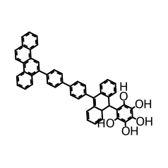 Oc1c(O)c(O)c(C2c3ccccc3C(c3ccc(-c4ccc(-c5cc6c7ccccc7ccc6c6ccccc56)cc4)cc3)=C3C=CC=CC32)c(O)c1O